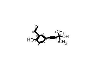 CC(C)(O)C#Cc1ccc(O)c(C=O)c1